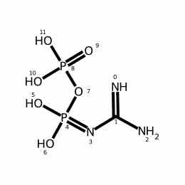 N=C(N)N=P(O)(O)OP(=O)(O)O